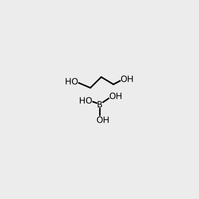 OB(O)O.OCCCO